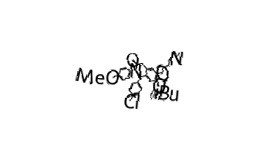 CC[C@@H](C)Oc1cc2c(cc1OCCCN(C)C)CC(=O)N(c1ccc(OC)cc1)C2c1ccc(Cl)cc1